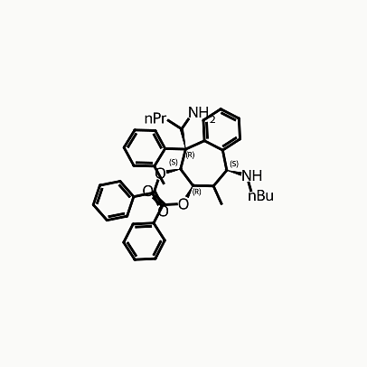 CCCCN[C@@H]1c2ccccc2[C@](c2ccccc2C)(C(N)CCC)[C@H](OC(=O)c2ccccc2)[C@H](OC(=O)c2ccccc2)C1C